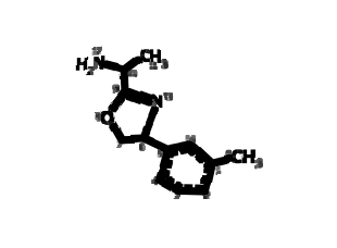 Cc1cccc(C2COC(C(C)N)=N2)c1